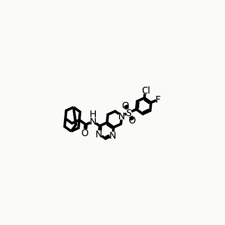 O=C(Nc1ncnc2c1CCN(S(=O)(=O)c1ccc(F)c(Cl)c1)C2)C12CC3CC(CC(C3)C1)C2